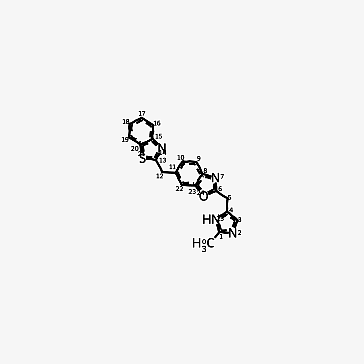 Cc1ncc(Cc2nc3ccc(Cc4nc5ccccc5s4)cc3o2)[nH]1